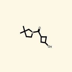 CC1(C)CCN(C(=O)C2CC(O)C2)C1